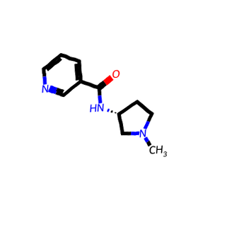 CN1CC[C@@H](NC(=O)c2cccnc2)C1